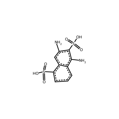 Nc1cc2c(S(=O)(=O)O)cccc2c(N)c1S(=O)(=O)O